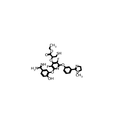 CCOC(=O)C(CS)Oc1c(F)c(Oc2cccc(C3=NCCN3C)c2)nc(Oc2cc(C(=N)N)ccc2O)c1F